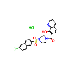 Cl.O=C(c1ccc2cccnc2c1O)N1CCN(S(=O)(=O)c2ccc3cc(Cl)ccc3c2)CC1